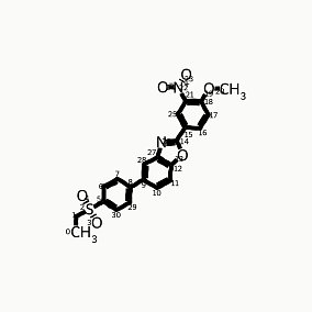 CCS(=O)(=O)c1ccc(-c2ccc3oc(-c4ccc(OC)c([N+](=O)[O-])c4)nc3c2)cc1